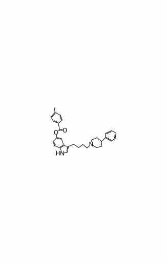 Cc1ccc(C(=O)Oc2ccc3[nH]cc(CCCCN4CCC(c5ccccc5)CC4)c3c2)cc1